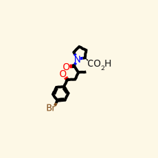 CC(CC(=O)c1ccc(Br)cc1)C(=O)N1CCC[C@@H]1C(=O)O